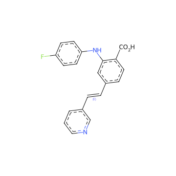 O=C(O)c1ccc(/C=C/c2cccnc2)cc1Nc1ccc(F)cc1